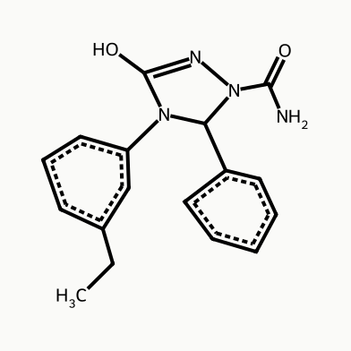 CCc1cccc(N2C(O)=NN(C(N)=O)C2c2ccccc2)c1